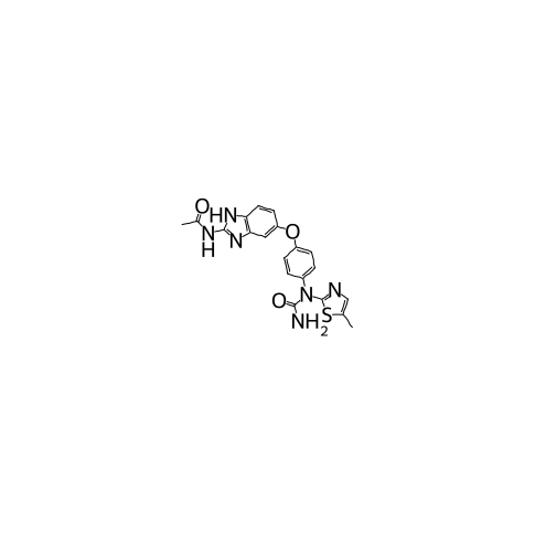 CC(=O)Nc1nc2cc(Oc3ccc(N(C(N)=O)c4ncc(C)s4)cc3)ccc2[nH]1